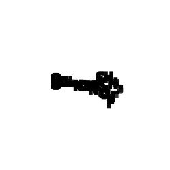 CC(C)c1cn(C2CCN(CCN3CCS(=O)(=O)CC3)CC2)nc1-c1ccc(C(F)F)cc1